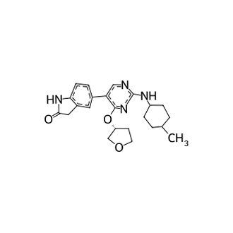 CC1CCC(Nc2ncc(-c3ccc4c(c3)CC(=O)N4)c(O[C@@H]3CCOC3)n2)CC1